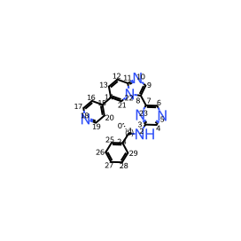 C[C@H](Nc1cncc(-c2cnc3ccc(-c4ccncc4)cn23)n1)c1ccccc1